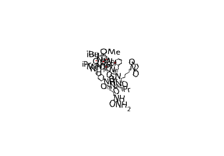 CC[C@H](C)C([C@@H](CC(=O)N1CCC[C@H]1[C@H](OC)[C@@H](C)C(=O)N[C@@H](Cc1ccccc1)c1nccs1)OC)N(C)C(=O)[C@@H](NC(=O)C(C(C)C)N(C)CCc1ccc(NC(=O)[C@H](CCCNC(N)=O)NC(=O)[C@@H](NC(=O)CCCCCN2C(=O)C=CC2=O)C(C)C)cc1)C(C)C